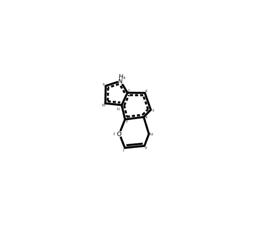 C1=COc2c(ccc3[nH]ccc23)C1